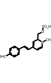 CN1C=CC(C=Cc2ccc(C=O)cc2)=CC1COS(=O)(=O)O